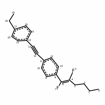 CCCC/C(F)=C(\F)c1ccc(C#Cc2ccc(CC)cc2)cc1